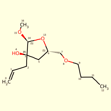 C=CC[C@@]1(O)C[C@@H](COCCCC)O[C@@H]1OC